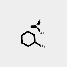 NC1CCCCC1.O=[SH](=O)O